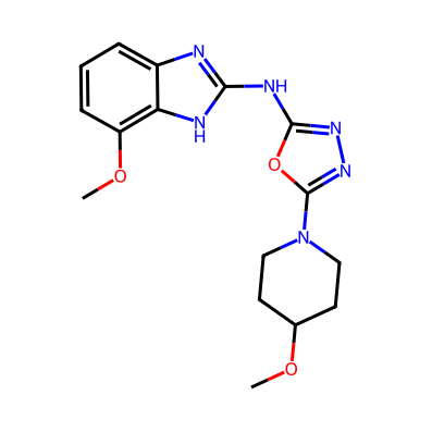 COc1cccc2nc(Nc3nnc(N4CCC(OC)CC4)o3)[nH]c12